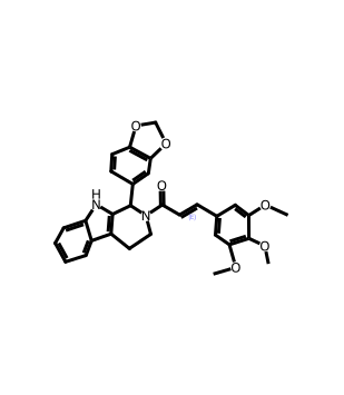 COc1cc(/C=C/C(=O)N2CCc3c([nH]c4ccccc34)C2c2ccc3c(c2)OCO3)cc(OC)c1OC